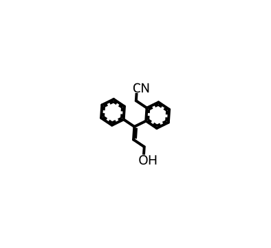 N#CCc1ccccc1/C(=C\CO)c1ccccc1